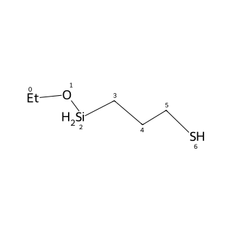 CCO[SiH2]CCCS